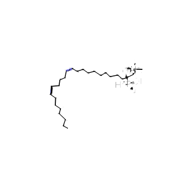 CCCCCCC/C=C\CCC/C=C\CCCCCCCCCC(O)(C[N+](C)(C)C)P(=O)(O)O